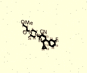 COCCC(=O)N1CCN(c2nc(C3CC3)c(-c3cccc(F)c3)cc2C#N)C[C@H]1C